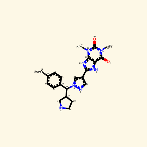 CCCn1c(=O)c2[nH]c(-c3cnn(C(c4ccc(OC)cc4)C4CCNC4)c3)nc2n(CCC)c1=O